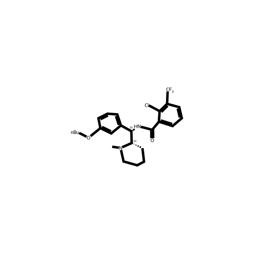 CCCCOc1cccc([C@H](NC(=O)c2cccc(C(F)(F)F)c2Cl)[C@@H]2CCCCN2C)c1